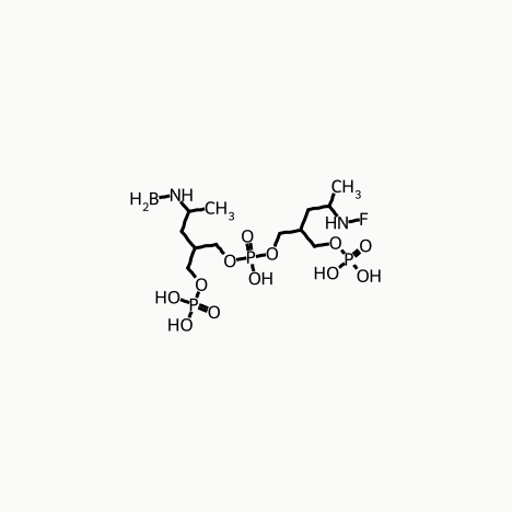 BNC(C)CC(COP(=O)(O)O)COP(=O)(O)OCC(COP(=O)(O)O)CC(C)NF